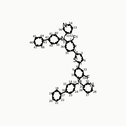 Fc1cc(-c2ccc(-c3ccc(N(c4ccc(-c5ccccc5)cc4)c4cccnc4)c(F)c3)s2)ccc1N(c1ccc(-c2ccccc2)cc1)c1cccnc1